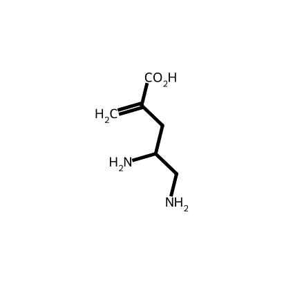 C=C(CC(N)CN)C(=O)O